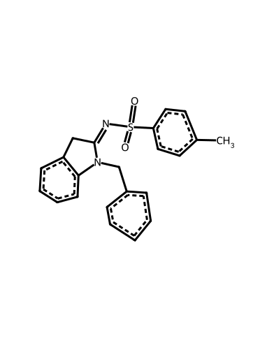 Cc1ccc(S(=O)(=O)N=C2Cc3ccccc3N2Cc2ccccc2)cc1